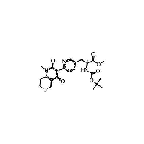 COC(=O)[C@H](Cc1ccc(-n2c(=O)c3c(n(C)c2=O)CCOC3)nc1)NC(=O)OC(C)(C)C